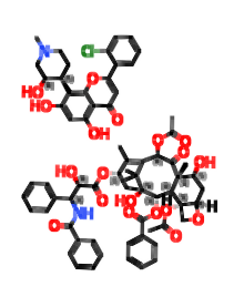 CC(=O)O[C@H]1C(=O)[C@@]2(C)[C@H]([C@H](OC(=O)c3ccccc3)[C@]3(O)C[C@H](OC(=O)[C@H](O)[C@@H](NC(=O)c4ccccc4)c4ccccc4)C(C)=C1C3(C)C)[C@]1(OC(C)=O)CO[C@@H]1C[C@@H]2O.CN1CC[C@@H](c2c(O)cc(O)c3c(=O)cc(-c4ccccc4Cl)oc23)[C@@H](O)C1